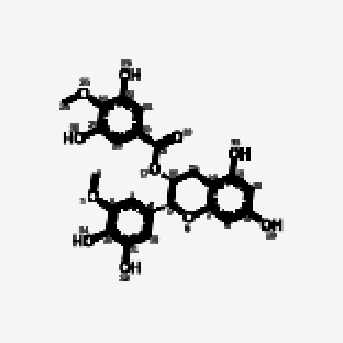 COc1cc([C@H]2Oc3cc(O)cc(O)c3C[C@H]2OC(=O)c2cc(O)c(OC)c(O)c2)cc(O)c1O